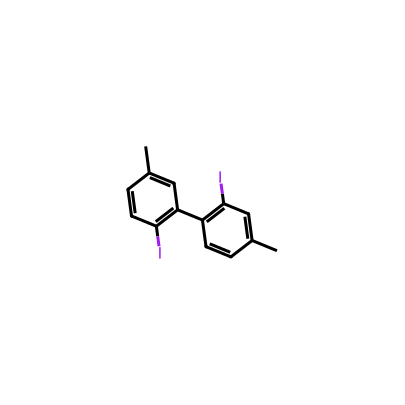 Cc1ccc(-c2cc(C)ccc2I)c(I)c1